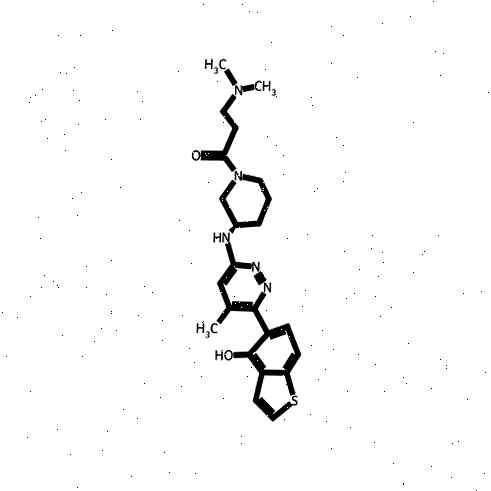 Cc1cc(N[C@@H]2CCCN(C(=O)CCN(C)C)C2)nnc1-c1ccc2sccc2c1O